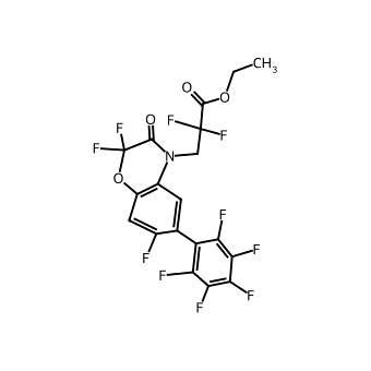 CCOC(=O)C(F)(F)CN1C(=O)C(F)(F)Oc2cc(F)c(-c3c(F)c(F)c(F)c(F)c3F)cc21